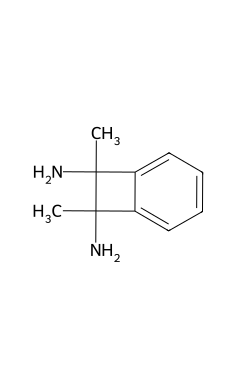 CC1(N)c2ccccc2C1(C)N